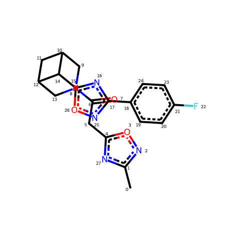 Cc1noc(CC(=O)N2CC3CC(C2)C3c2nc(-c3ccc(F)cc3)no2)n1